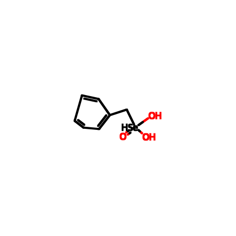 O=[SeH](O)(O)Cc1ccccc1